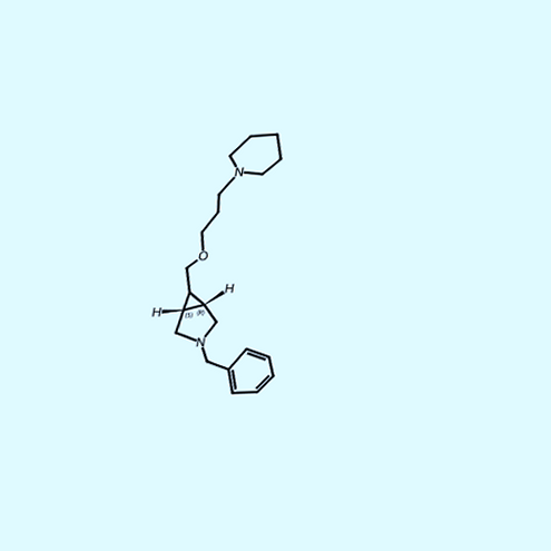 c1ccc(CN2C[C@@H]3C(COCCCN4CCCCC4)[C@@H]3C2)cc1